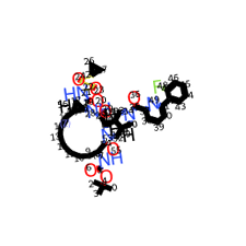 CC(C)(C)OC(=O)N[C@H]1CCCCC/C=C\[C@@H]2C[C@@]2(C(=O)NS(=O)(=O)C2CC2)NC(=O)[C@@H]2[C@H]3CN(C(=O)c4cccc(-c5ccccc5F)n4)C[C@H]3CN2C1=O